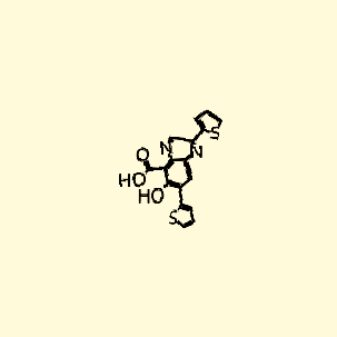 O=C(O)c1c(O)c(-c2cccs2)cc2nc(-c3cccs3)cnc12